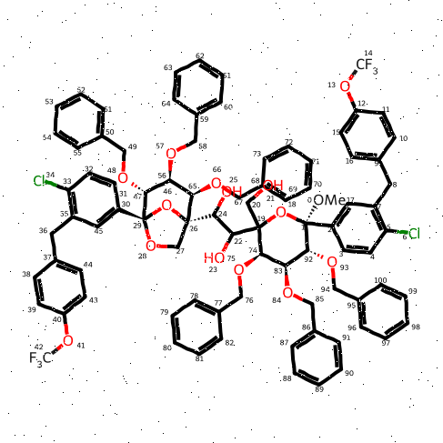 CO[C@@]1(c2ccc(Cl)c(Cc3ccc(OC(F)(F)F)cc3)c2)OC(CO)(C(O)C(O)[C@]23CO[C@@](c4ccc(Cl)c(Cc5ccc(OC(F)(F)F)cc5)c4)(O2)[C@H](OCc2ccccc2)[C@@H](OCc2ccccc2)[C@H]3OCc2ccccc2)[C@H](OCc2ccccc2)[C@H](OCc2ccccc2)[C@H]1OCc1ccccc1